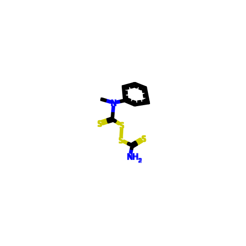 CN(C(=S)SSC(N)=S)c1ccccc1